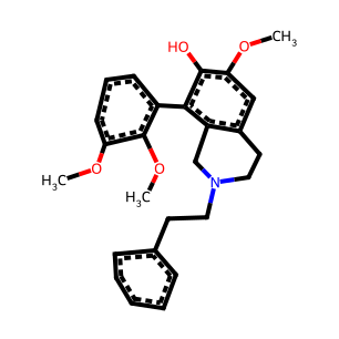 COc1cc2c(c(-c3cccc(OC)c3OC)c1O)CN(CCc1ccccc1)CC2